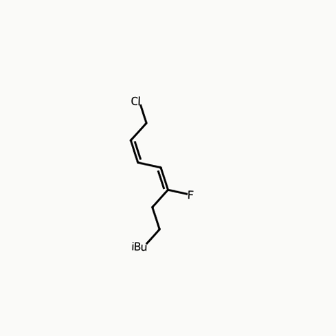 CCC(C)CC/C(F)=C\C=C/CCl